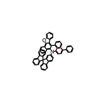 c1ccc(-c2ccc(N(c3ccc4c(c3)C3(c5ccccc5-c5ccccc53)c3ccccc3-4)c3c(-c4ccccc4)c4c5ccccc5oc4c4ccccc34)cc2)cc1